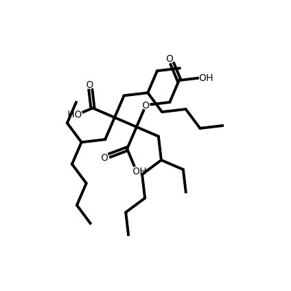 CCCCC(CC)CC(CC(CC)CCCC)(C(=O)O)C(CC(CC)CCCC)(OCC(=O)O)C(=O)O